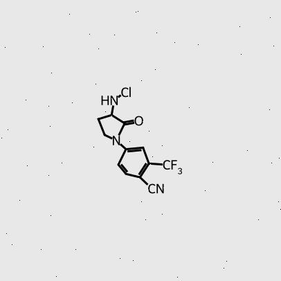 N#Cc1ccc(N2CCC(NCl)C2=O)cc1C(F)(F)F